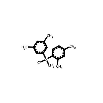 Cc1cc(C)cc([Si](C)(Cl)c2ccc(C)cc2C)c1